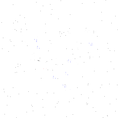 CCC1NC(C(=O)O)CC12CCN(c1cc(O[C@H](c3ccc(CNC(C)=O)cc3-n3ccc(C)n3)C(F)(F)F)nc(N)n1)CC2